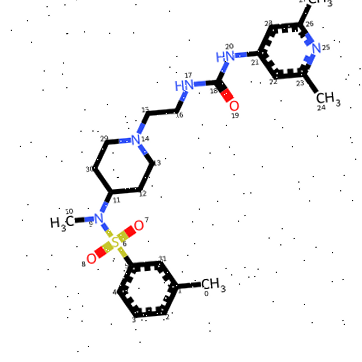 Cc1cccc(S(=O)(=O)N(C)C2CCN(CCNC(=O)Nc3cc(C)nc(C)c3)CC2)c1